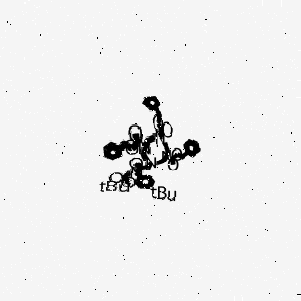 CC(C)(C)OC(=O)CN(C(=O)CN1CCN(C(=O)OCc2ccccc2)CCN(C(=O)OCc2ccccc2)CCN(C(=O)OCc2ccccc2)CC1)c1ccc(C(C)(C)C)cc1